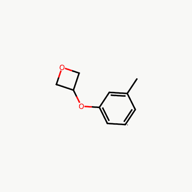 Cc1c[c]cc(OC2COC2)c1